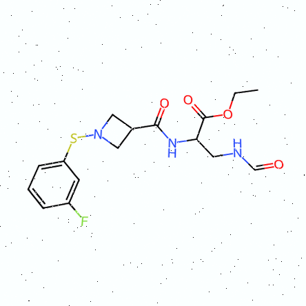 CCOC(=O)C(CNC=O)NC(=O)C1CN(Sc2cccc(F)c2)C1